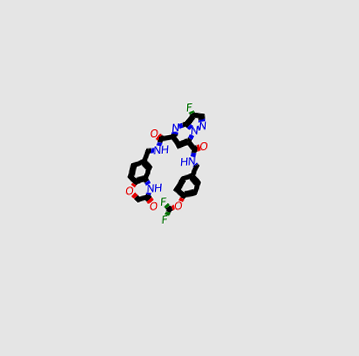 O=C1COc2ccc(CNC(=O)c3cc(C(=O)NCc4ccc(OC(F)F)cc4)n4ncc(F)c4n3)cc2N1